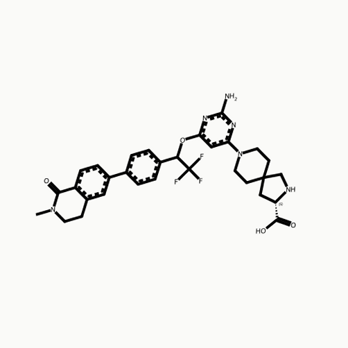 CN1CCc2cc(-c3ccc(C(Oc4cc(N5CCC6(CC5)CN[C@H](C(=O)O)C6)nc(N)n4)C(F)(F)F)cc3)ccc2C1=O